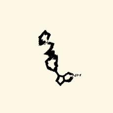 C1=C(c2ccc(CCn3cccc3)cc2)C2CNCC2C1